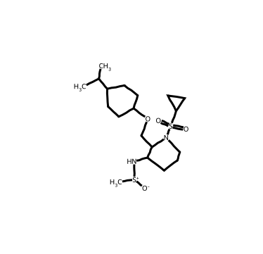 CC(C)C1CCC(OCC2C(N[S+](C)[O-])CCCN2S(=O)(=O)C2CC2)CC1